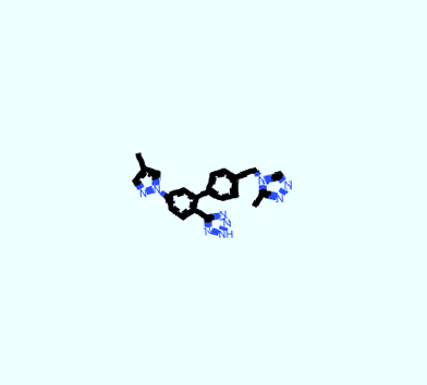 Cc1cnn(-c2ccc(-c3nn[nH]n3)c(-c3ccc(Cn4cnnc4C)cc3)c2)c1